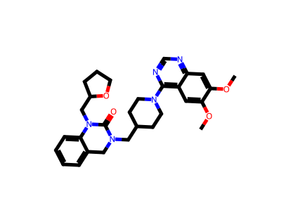 COc1cc2ncnc(N3CCC(CN4Cc5ccccc5N(CC5CCCO5)C4=O)CC3)c2cc1OC